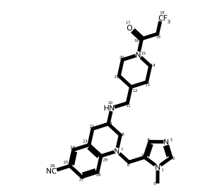 Cn1cncc1CN1CC(NCC2CCN(C(=O)CC(F)(F)F)CC2)Cc2cc(C#N)ccc21